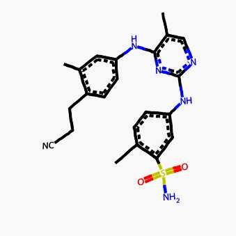 Cc1cc(Nc2nc(Nc3ccc(C)c(S(N)(=O)=O)c3)ncc2C)ccc1CCC#N